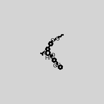 CCCCOCCOc1ccc(-c2ccc3c(c2)C=C(C(=O)Nc2ccc(C[S+]([O-])c4ccccc4)cc2)CCN3CC(C)C)cc1